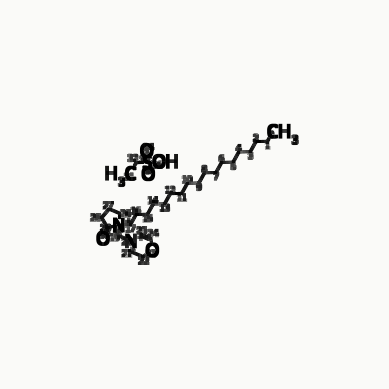 CCCCCCCCCCCCCCCCCC[N+]1(C[N+]2=CCOC=C2)CCCC1=O.CCS(=O)(=O)O